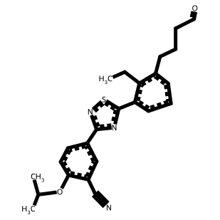 CCc1c(CCCC=O)cccc1-c1nc(-c2ccc(OC(C)C)c(C#N)c2)ns1